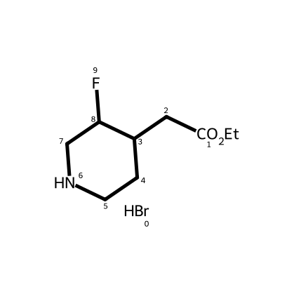 Br.CCOC(=O)CC1CCNCC1F